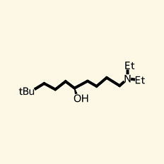 CCN(CC)CCCC[C@@H](O)CCCC(C)(C)C